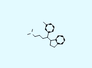 CN(C)CCCC(c1cccc(Cl)c1)C1CCc2ccccc21